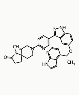 C[C@@H](Oc1ccc2[nH]nc(-c3ccc(N4CCC5(CCC(=O)N5C)CC4)nc3)c2c1)c1ccnc2[nH]ccc12